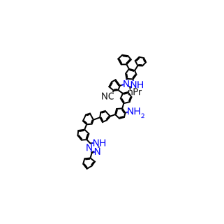 CCCC1Nc2cc(-c3ccccc3)c(-c3ccccc3)cc2N1c1cccc(C#N)c1-c1cccc(-c2cc(-c3ccc(-c4cccc(-c5cccc(C6=NC(c7ccccc7)=NCN6)c5)c4)cc3)ccc2N)c1